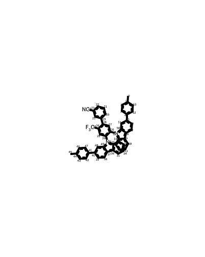 Cc1ccc(-c2ccc3c4ccccc4n(-c4cc(-c5cccc(C#N)c5)c(C(F)(F)F)cc4-n4c5ccccc5c5ccc(-c6ccc(C)cc6)cc54)c3c2)cc1